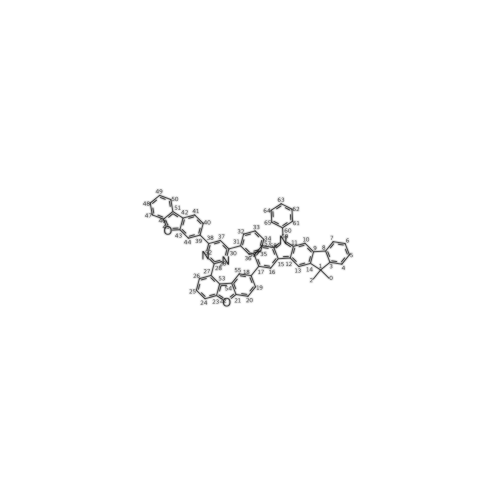 CC1(C)c2ccccc2-c2cc3c(cc21)c1cc(-c2ccc4oc5cccc(-c6nc(-c7ccccc7)cc(-c7ccc8c(c7)oc7ccccc78)n6)c5c4c2)ccc1n3-c1ccccc1